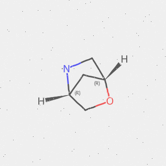 C1O[C@H]2C[N][C@@H]1C2